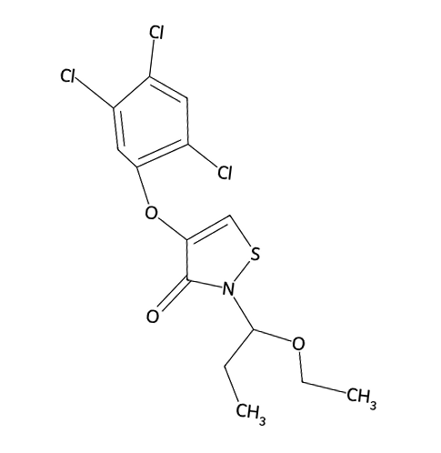 CCOC(CC)n1scc(Oc2cc(Cl)c(Cl)cc2Cl)c1=O